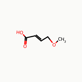 COCC=CC(=O)O